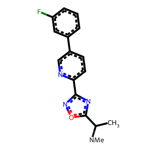 CNC(C)c1nc(-c2ccc(-c3cccc(F)c3)cn2)no1